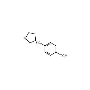 C1CCNC1.O=C(O)c1ccc(C(F)(F)F)cc1